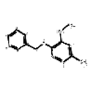 CCCCNc1nc(N)nnc1OCc1cccnc1